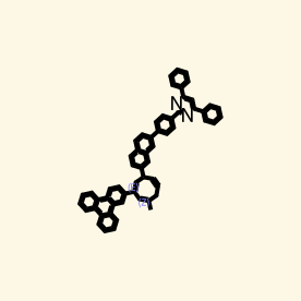 C/C1=C/C(c2ccc3c4ccccc4c4ccccc4c3c2)=C\C(c2ccc3ccc(-c4ccc(-c5nc(-c6ccccc6)cc(-c6ccccc6)n5)cc4)cc3c2)C#CC1